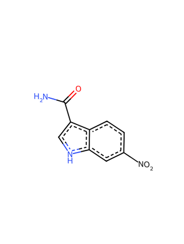 NC(=O)c1c[nH]c2cc([N+](=O)[O-])ccc12